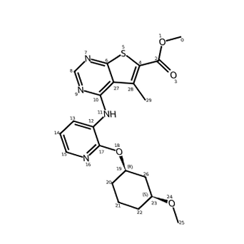 COC(=O)c1sc2ncnc(Nc3cccnc3O[C@@H]3CCC[C@H](OC)C3)c2c1C